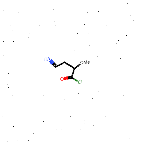 COC(CC=N)C(=O)Cl